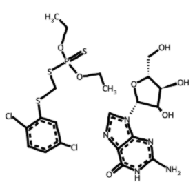 CCOP(=S)(OCC)SCSc1cc(Cl)ccc1Cl.Nc1nc2c(ncn2[C@@H]2O[C@H](CO)[C@@H](O)[C@H]2O)c(=O)[nH]1